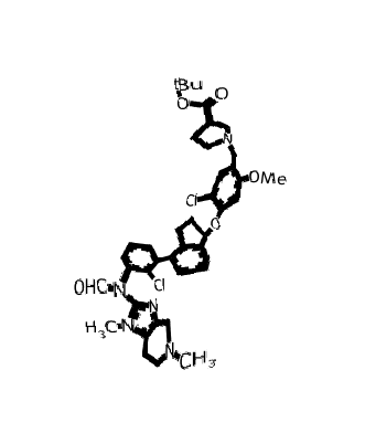 COc1cc(OC2CCc3c(-c4cccc(N(C=O)c5nc6c(n5C)CCN(C)C6)c4Cl)cccc32)c(Cl)cc1CN1CCC(C(=O)OC(C)(C)C)C1